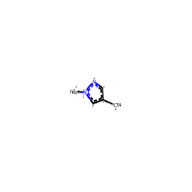 CCCCn1cc(C#N)cn1